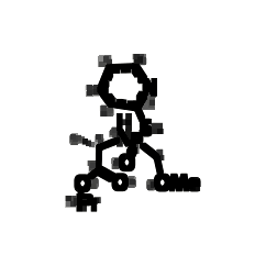 COCP(=O)(N[C@@H](C)C(=O)OC(C)C)Sc1ccccn1